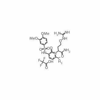 COc1ccc(S(=O)(=O)Nc2ccc(C)n(C(CCONC(=N)N)C(N)=O)c2=O)cc1OC.O=C(O)C(F)(F)F